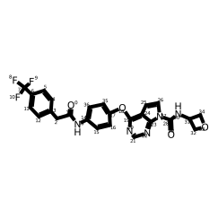 O=C(Cc1ccc(C(F)(F)F)cc1)Nc1ccc(Oc2ncnc3c2ccn3C(=O)NC2COC2)cc1